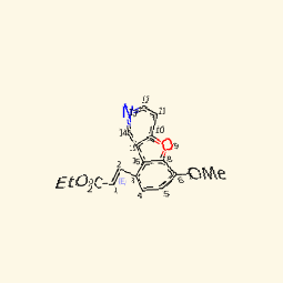 CCOC(=O)/C=C/c1ccc(OC)c2oc3ccncc3c12